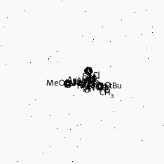 COc1ccc(CN(C(C)=O)c2nc(C(C)C)c(-n3c(=O)nc(N4C[C@@H](C)N(C(=O)OC(C)(C)C)C[C@@H]4C)c4cc(Cl)c(-c5ccccc5F)nc43)c(C(C)C)n2)cc1